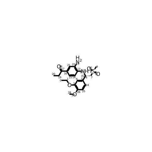 CCOc1cc([C@@H](CS(C)(=O)=O)Nc2ccc(C(=O)CC)cc2N)ccc1OC